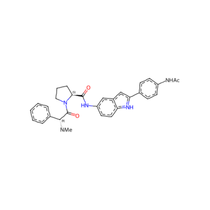 CN[C@@H](C(=O)N1CCC[C@H]1C(=O)Nc1ccc2[nH]c(-c3ccc(NC(C)=O)cc3)cc2c1)c1ccccc1